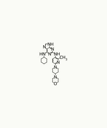 Cc1nc(N2CCC(N3CCOCC3)CC2)ccc1Nc1nc(NC2CCCCC2)c2nc[nH]c2n1